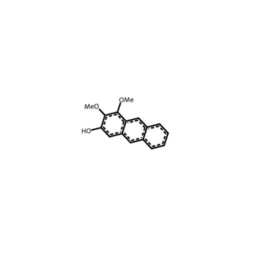 COc1c(O)cc2cc3ccccc3cc2c1OC